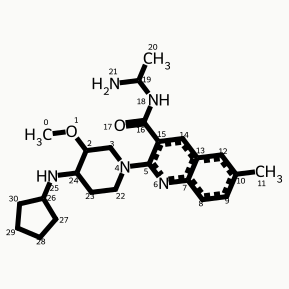 COC1CN(c2nc3ccc(C)cc3cc2C(=O)NC(C)N)CCC1NC1CCCC1